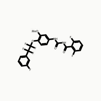 COc1cc(NC(=O)NC(=O)c2c(F)cccc2F)ccc1OC(F)(F)C(F)(F)c1cccc(F)c1